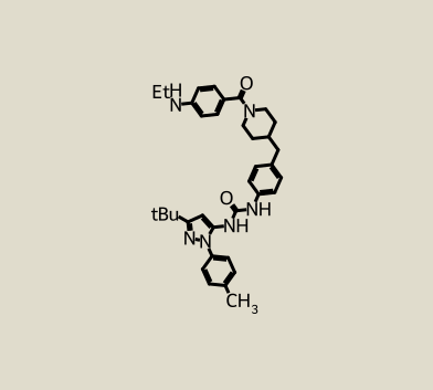 CCNc1ccc(C(=O)N2CCC(Cc3ccc(NC(=O)Nc4cc(C(C)(C)C)nn4-c4ccc(C)cc4)cc3)CC2)cc1